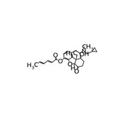 C/C=C/C=C/C(=O)Oc1ccc2c3c1O[C@H]1C(=O)CC[C@@](O)([C@H](N(C)CC4CC4)C2)[C@@]31CC